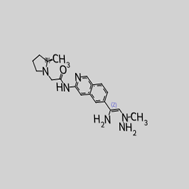 C[C@@H]1CCCN1CC(=O)Nc1cc2cc(/C(N)=C/N(C)N)ccc2cn1